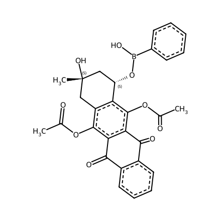 CC(=O)Oc1c2c(c(OC(C)=O)c3c1C(=O)c1ccccc1C3=O)[C@@H](OB(O)c1ccccc1)C[C@@](C)(O)C2